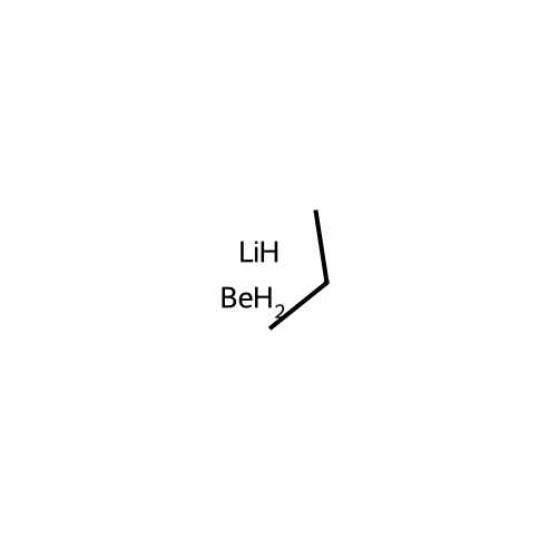 CCC.[BeH2].[LiH]